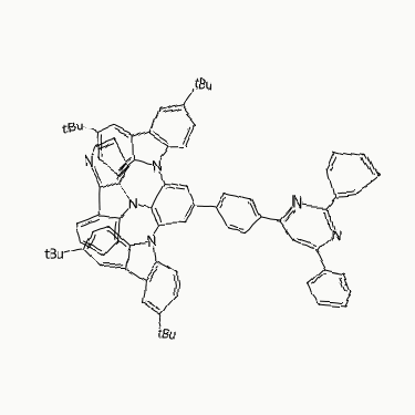 CC(C)(C)c1ccc2c(c1)c1cc(C(C)(C)C)ccc1n2-c1cc(-c2ccc(-c3cc(-c4ccccc4)nc(-c4ccccc4)n3)cc2)cc(-n2c3ccc(C(C)(C)C)cc3c3cc(C(C)(C)C)ccc32)c1-n1c2ccccc2c2ncccc21